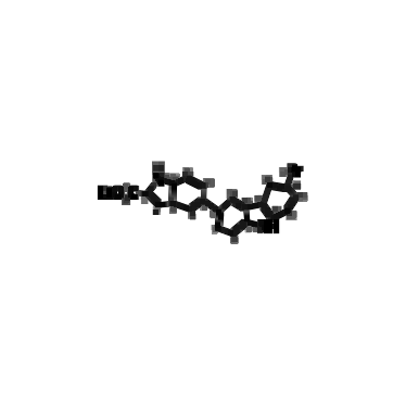 CCOC(=O)c1cc2cc(-c3ccc4[nH]c5ccc(Br)cc5c4c3)ccc2[nH]1